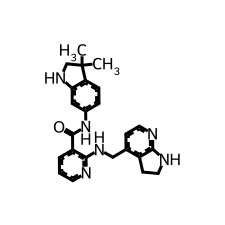 CC1(C)CNc2cc(NC(=O)c3cccnc3NCc3ccnc4c3CCN4)ccc21